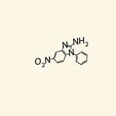 Nc1nc2cc([N+](=O)[O-])ccc2n1-c1ccccc1